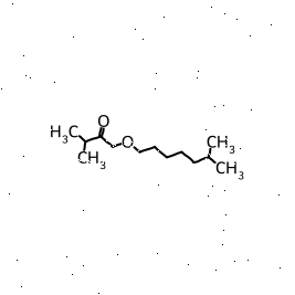 CC(C)CCCCCOCC(=O)C(C)C